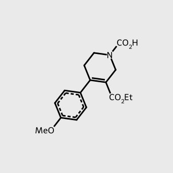 CCOC(=O)C1=C(c2ccc(OC)cc2)CCN(C(=O)O)C1